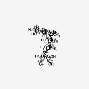 CC1(C)CC(O)CC(C)(C)N1.CC1(C)CC(O)CC(C)(C)N1.CC1(C)CC(O)CC(C)(C)N1.CC1(C)CC(O)CC(C)(C)N1.CC1(C)CC(O)CC(C)(C)N1.O=C(O)CN(CCN(CC(=O)O)CC(=O)O)CCN(CC(=O)O)CC(=O)O